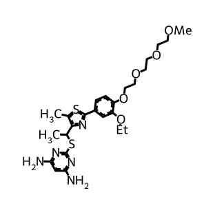 CCOc1cc(-c2nc(C(C)Sc3nc(N)cc(N)n3)c(C)s2)ccc1OCCOCCOCCOC